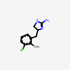 COc1c(Br)cccc1CC1CNC(N)=N1